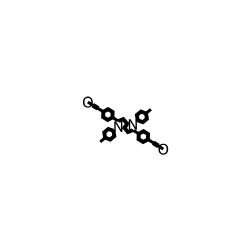 COC#Cc1ccc(-c2cc3c(cc(-c4ccc(C#COC)cc4)n3-c3ccc(C)cc3)n2-c2ccc(C)cc2)cc1